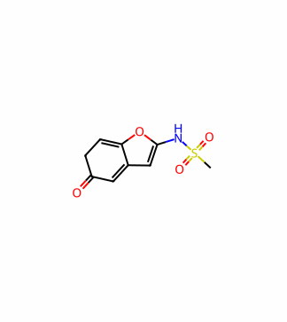 CS(=O)(=O)Nc1cc2c(o1)=CCC(=O)C=2